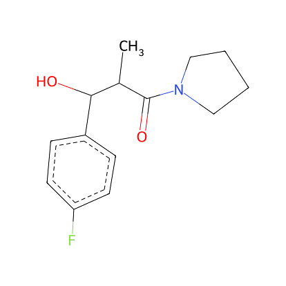 CC(C(=O)N1CCCC1)C(O)c1ccc(F)cc1